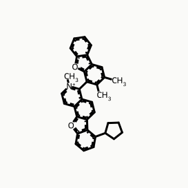 Cc1cc2c(oc3ccccc32)c(-c2c3ccc4c(oc5cccc(C6CCCC6)c54)c3cc[n+]2C)c1C